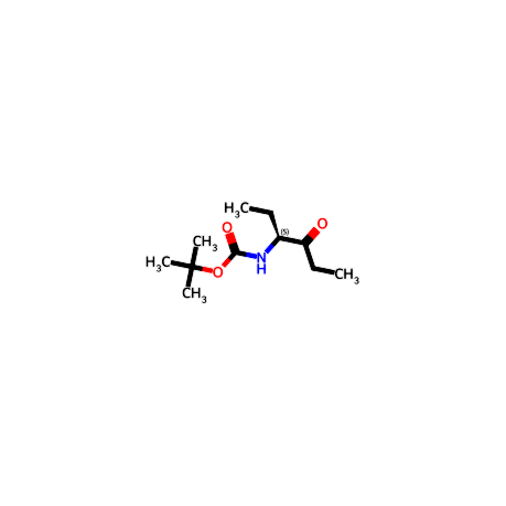 CCC(=O)[C@H](CC)NC(=O)OC(C)(C)C